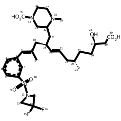 C/C(=C\c1cccc(S(=O)(=O)N2CC(F)(F)C2)c1)C[C@H](/C=C/C[C@@H](C)CC[C@@H](O)CC(=O)O)CC1CN(C(=O)O)CCN1C